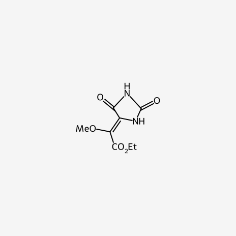 CCOC(=O)/C(OC)=C1\NC(=O)NC1=O